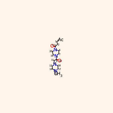 CC(=O)CCC(=O)N1CCN(C(=O)CN2CCN(C)CC2)CC1